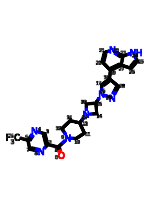 O=C(c1cnc(C(F)(F)F)cn1)N1CCC(N2CC(n3cc(-c4ccnc5[nH]ccc45)cn3)C2)CC1